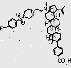 C=C(C)[C@@H]1CC[C@]2(NCCN3CCN(S(=O)(=O)c4ccc(CC)cc4)CC3)CC[C@@H]3[C@H](CC[C@H]4[C@@]3(C)CC[C@H]3C(C)(C)C(c5ccc(C(=O)O)cc5)=CC[C@]43C)[C@@H]12